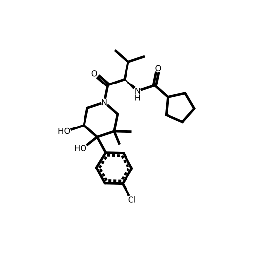 CC(C)[C@@H](NC(=O)C1CCCC1)C(=O)N1CC(O)C(O)(c2ccc(Cl)cc2)C(C)(C)C1